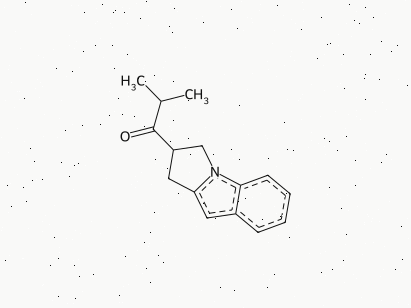 CC(C)C(=O)C1Cc2cc3ccccc3n2C1